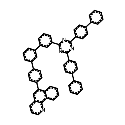 c1ccc(-c2ccc(-c3nc(-c4ccc(-c5ccccc5)cc4)nc(-c4cccc(-c5cccc(-c6ccc(-c7cc8cccnc8c8ccccc78)cc6)c5)c4)n3)cc2)cc1